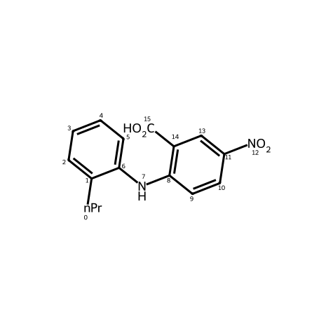 CCCc1ccccc1Nc1ccc([N+](=O)[O-])cc1C(=O)O